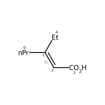 CCC/C(=C/C(=O)O)CC